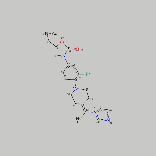 CC(=O)NCC1CN(c2ccc(N3CCC(=C(C#N)n4ccnc4)CC3)c(F)c2)C(=O)O1